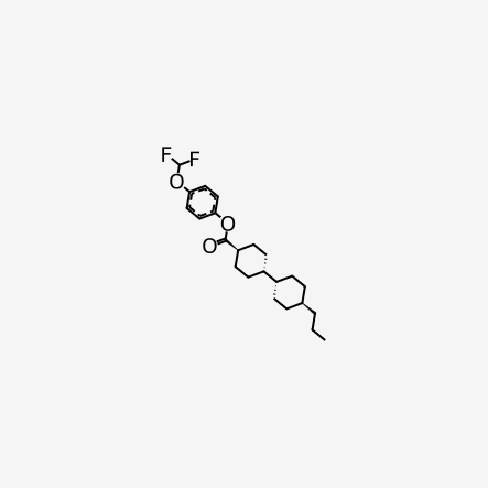 CCC[C@H]1CC[C@H]([C@H]2CC[C@H](C(=O)Oc3ccc(OC(F)F)cc3)CC2)CC1